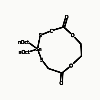 CCCCCCC[CH2][Sn]1([CH2]CCCCCCC)[S]CC(=O)OCCOC(=O)C[S]1